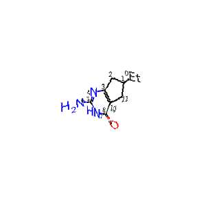 CCC1Cc2nc(N)[nH]c(=O)c2C1